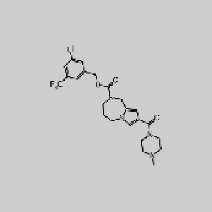 CN1CCN(C(=O)c2cc3n(c2)CCCN(C(=O)OCc2cc(Cl)cc(C(F)(F)F)c2)C3)CC1